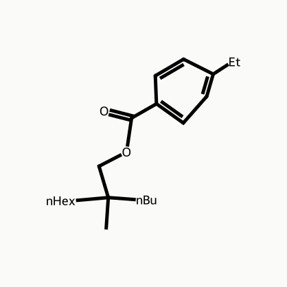 CCCCCCC(C)(CCCC)COC(=O)c1ccc(CC)cc1